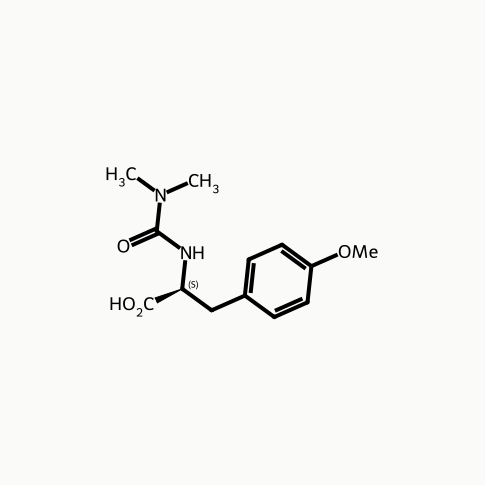 COc1ccc(C[C@H](NC(=O)N(C)C)C(=O)O)cc1